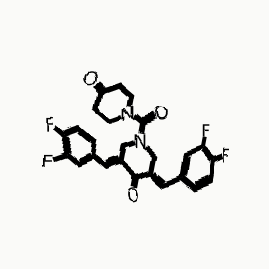 O=C1CCN(C(=O)N2C/C(=C\c3ccc(F)c(F)c3)C(=O)/C(=C/c3ccc(F)c(F)c3)C2)CC1